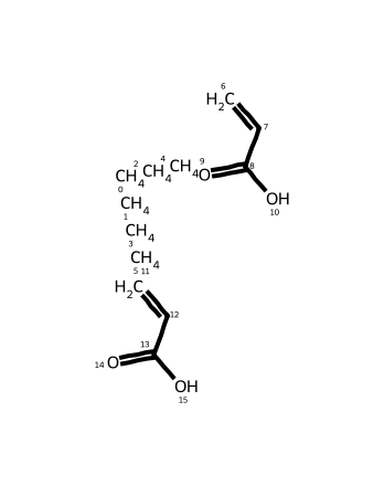 C.C.C.C.C.C.C=CC(=O)O.C=CC(=O)O